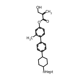 C=C(CO)C(=O)Oc1ccc(-c2ccc(C3CCC(CCCCCCC)CC3)cc2)c(C)c1